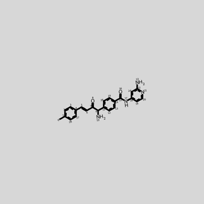 Cc1ccc(C=CC(=O)C(N)c2ccc(C(=O)Nc3ccnc(N)c3)cc2)cc1